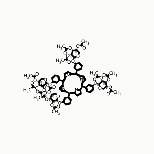 CC(=O)O[C@@H]1[C@H](Oc2cccc(-c3c4nc(c(-c5cccc(O[C@@H]6OC[C@@H](OC(C)=O)[C@@H](OC(C)=O)[C@@H]6OC(C)=O)c5)c5ccc([nH]5)c(-c5cccc(O[C@@H]6OC[C@@H](OC(C)=O)[C@@H](OC(C)=O)[C@@H]6OC(C)=O)c5)c5nc(c(-c6cccc(O[C@@H]7OC[C@@H](OC(C)=O)[C@@H](OC(C)=O)[C@@H]7OC(C)=O)c6)c6ccc3[nH]6)C=C5)C=C4)c2)OC[C@@H](OC(C)=O)[C@H]1OC(C)=O